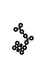 c1ccc(N(c2ccccc2)c2ccc(-c3ccc(N(c4ccccc4)c4ccc(-c5ccc6c(c5)C5(c7ccccc7-6)c6ccccc6C6(c7ccccc7-c7ccccc76)c6ccccc65)cc4)cc3)cc2)cc1